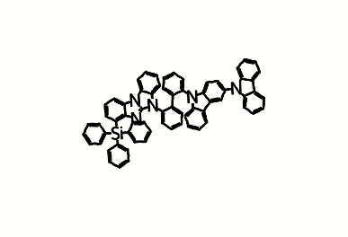 c1ccc([Si](c2ccccc2)(c2ccccc2)c2cccc3c2nc2n(-c4ccccc4-c4ccccc4-n4c5ccccc5c5cc(-n6c7ccccc7c7ccccc76)ccc54)c4ccccc4n32)cc1